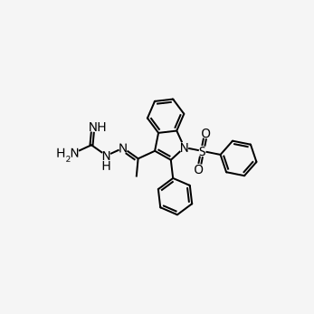 CC(=NNC(=N)N)c1c(-c2ccccc2)n(S(=O)(=O)c2ccccc2)c2ccccc12